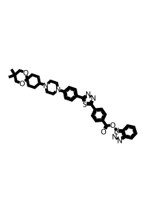 CC1(C)COC2(CCC(N3CCN(c4ccc(-c5nnc(-c6ccc(C(=O)On7nnc8ccccc87)cc6)s5)cc4)CC3)CC2)OC1